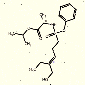 CC/C(=C\CCP(=O)(N[C@@H](C)C(=O)OC(C)C)Oc1ccccc1)CO